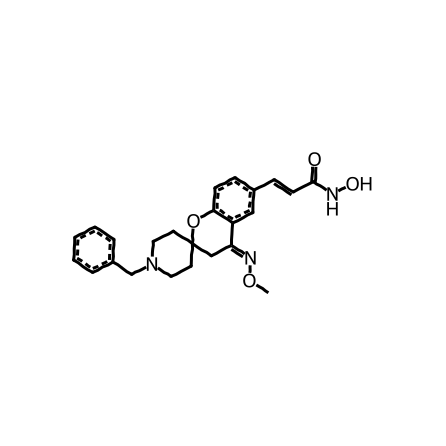 CON=C1CC2(CCN(Cc3ccccc3)CC2)Oc2ccc(C=CC(=O)NO)cc21